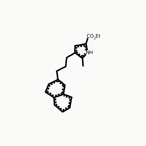 CCOC(=O)c1cc(CCCc2ccc3ccccc3c2)c(C)[nH]1